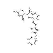 O=C1CCC(N2Cc3c(SCc4nc(CN5C=CC=CC=C5)cs4)cccc3C2=O)C(=O)N1